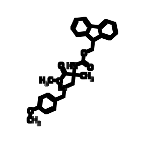 COC(=O)C(C)(C[Se]Cc1ccc(OC)cc1)NC(=O)OCC1c2ccccc2-c2ccccc21